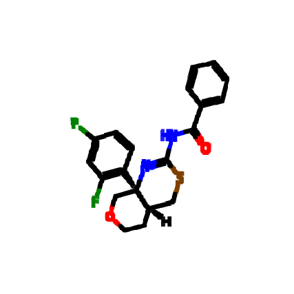 O=C(NC1=N[C@@]2(c3ccc(F)cc3F)COCC[C@H]2CS1)c1ccccc1